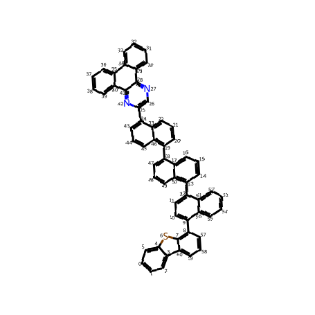 c1ccc2c(c1)sc1c(-c3ccc(-c4cccc5c(-c6cccc7c(-c8cnc9c%10ccccc%10c%10ccccc%10c9n8)cccc67)cccc45)c4ccccc34)cccc12